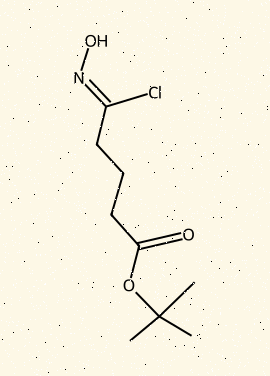 CC(C)(C)OC(=O)CCCC(Cl)=NO